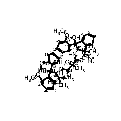 COc1ccccc1C(O)(c1ccccc1OC)[C@H](NC(=O)C(C)(C)C(=O)N[C@H](C(C)(C)C)C(O)(c1ccccc1OC)c1ccccc1OC)C(C)(C)C